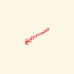 COCCOCCOCCOCCOCCOCCOCCC(=O)OC(C)(C)C